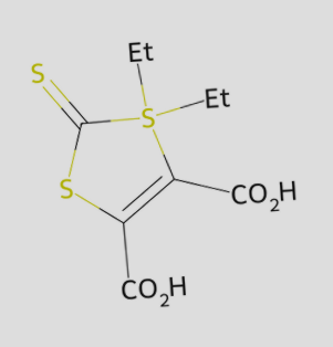 CCS1(CC)C(=S)SC(C(=O)O)=C1C(=O)O